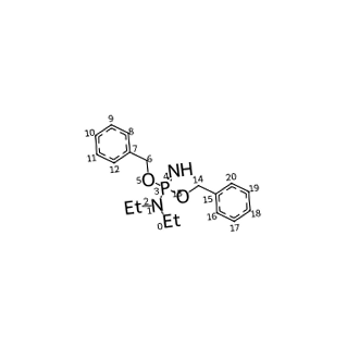 CCN(CC)P(=N)(OCc1ccccc1)OCc1ccccc1